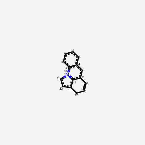 C1=Cc2cc3ccccc3n3ccc(c23)C1